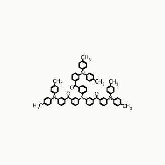 Cc1ccc(N(c2ccc(C)cc2)c2cccc(C(=O)c3cccc(N(c4cccc(C(=O)c5cccc(N(c6ccc(C)cc6)c6ccc(C)cc6)c5)c4)c4cccc(C(=O)c5cccc(N(c6ccc(C)cc6)c6ccc(C)cc6)c5)c4)c3)c2)cc1